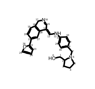 OCC1CCCN1Cc1ccc(NC=C2C=NCc3ccc(-c4ccco4)cc32)cc1